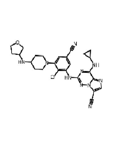 N#Cc1cc(Nc2nc(NC3CC3)c3ncc(C#N)n3n2)c(Cl)c(N2CCC(NC3CCOC3)CC2)c1